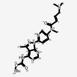 CN(C)C/C=C/C(=O)N(C)c1ccc(-n2nc(I)c3c(NC(=O)OC(C)(C)C)ncnc32)nc1